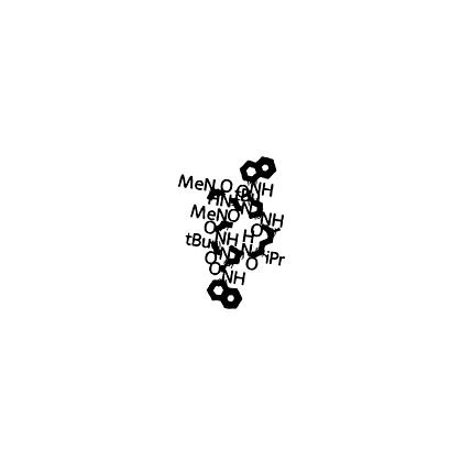 CN[C@@H](C)C(=O)N[C@H](C(=O)N1C[C@@H](NC(=O)[C@@H](C)CC[C@@H](C(=O)N[C@H]2C[C@@H](C(=O)N[C@@H]3CCCc4ccccc43)N(C(=O)[C@@H](NC(=O)[C@H](C)NC)C(C)(C)C)C2)C(C)C)C[C@H]1C(=O)N[C@@H]1CCCc2ccccc21)C(C)(C)C